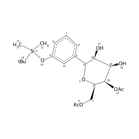 CC(=O)OC[C@H]1OC(c2cccc(O[Si](C)(C)C(C)(C)C)c2)[C@@H](O)[C@@H](O)[C@H]1OC(C)=O